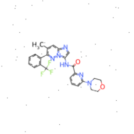 Cc1cc2ncc(NC(=O)c3cccc(N4CCOCC4)n3)n2nc1-c1ccccc1C(F)(F)F